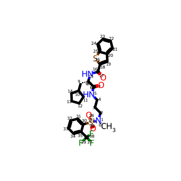 CN(CCCNC(=O)[C@H](CC1CCCC1)NC(=O)c1cc2ccccc2s1)S(=O)(=O)c1ccccc1C(F)(F)F